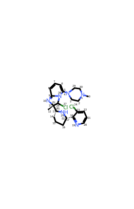 CN1CCN(C2=CC=CC3=N[C@@](C)([C@H]4CCC[C@@H](c5ncccc5Cl)N4)C(Cl)N23)CC1